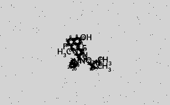 CCc1c(F)ccc2cc(O)cc(-c3ncc4c(N5CC6CC(C6)C5)nc(OCC5(CN(C)C)CC5)nc4c3F)c12